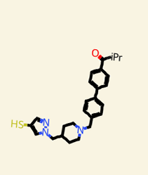 CC(C)C(=O)c1ccc(-c2ccc(CN3CCC(Cn4cc(S)cn4)CC3)cc2)cc1